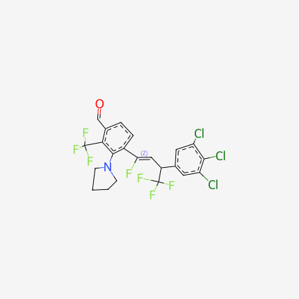 O=Cc1ccc(/C(F)=C/C(c2cc(Cl)c(Cl)c(Cl)c2)C(F)(F)F)c(N2CCCC2)c1C(F)(F)F